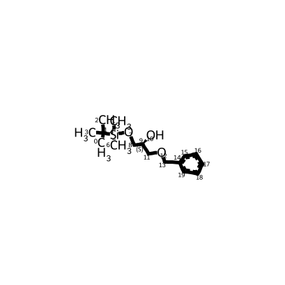 CC(C)(C)[Si](C)(C)OC[C@@H](O)COCc1ccccc1